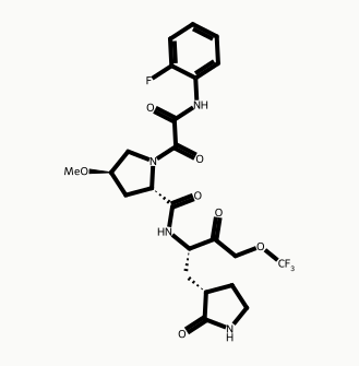 CO[C@@H]1C[C@@H](C(=O)N[C@@H](C[C@@H]2CCNC2=O)C(=O)COC(F)(F)F)N(C(=O)C(=O)Nc2ccccc2F)C1